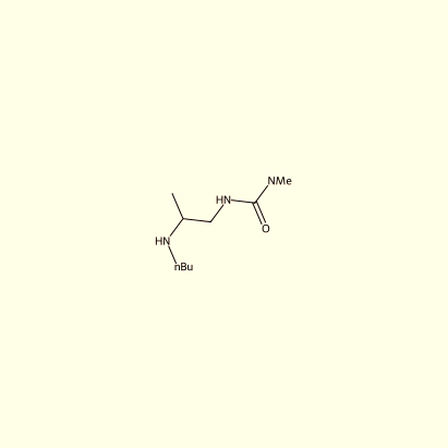 CCCCNC(C)CNC(=O)NC